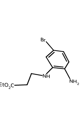 CCOC(=O)CCNc1cc(Br)ccc1N